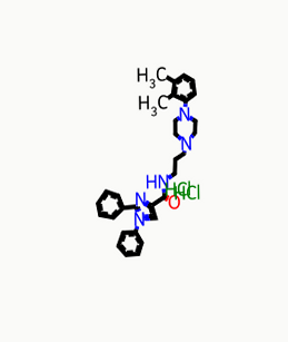 Cc1cccc(N2CCN(CCCNC(=O)c3cn(-c4ccccc4)c(-c4ccccc4)n3)CC2)c1C.Cl.Cl